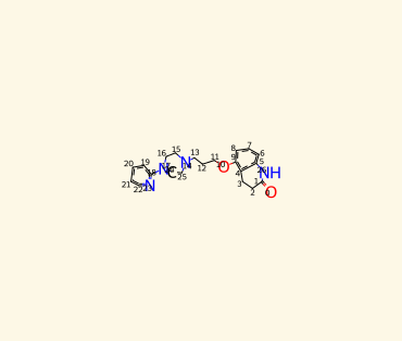 O=C1CCc2c(cccc2OCCCN2CCN(c3ccccn3)CC2)N1